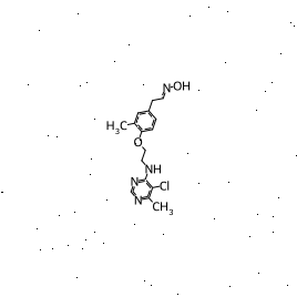 Cc1cc(C/C=N/O)ccc1OCCNc1ncnc(C)c1Cl